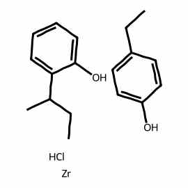 CCC(C)c1ccccc1O.CCc1ccc(O)cc1.Cl.[Zr]